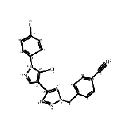 N#Cc1ccc(Cn2nnc(-c3cnn(-c4ccc(F)cc4)c3Cl)n2)cc1